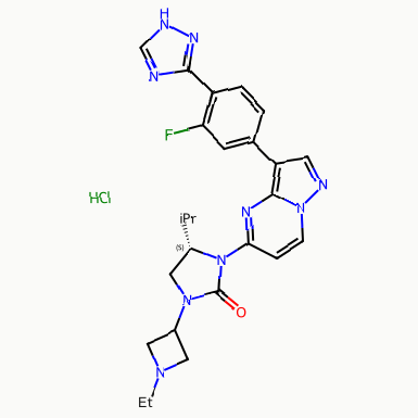 CCN1CC(N2C[C@H](C(C)C)N(c3ccn4ncc(-c5ccc(-c6nc[nH]n6)c(F)c5)c4n3)C2=O)C1.Cl